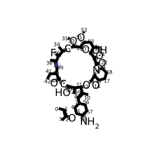 CC=C(C)OC1CC(C=C(C)C2OC(=O)C3CCCCN3C(=O)C(=O)C3(O)OC(C(OC)CC(C)C(F)/C(C)=C/C(CC)C(=O)CC(O)C2C)C(OC)CC3C)CCC1N